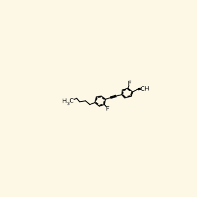 C#Cc1ccc(C#Cc2ccc(CCCCC)cc2F)cc1F